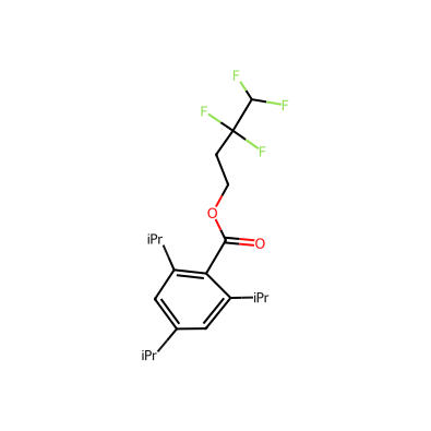 CC(C)c1cc(C(C)C)c(C(=O)OCCC(F)(F)C(F)F)c(C(C)C)c1